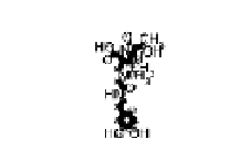 C[C@@H](O)[C@H]1C(=O)N2C(C(=O)O)=C(CN(C)CC(=O)NCCc3ccc(O)c(O)c3)[C@H](C)[C@H]12